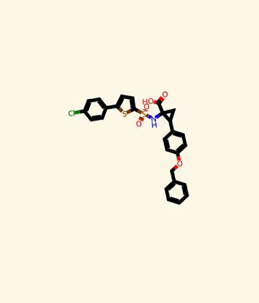 O=C(O)C1(NS(=O)(=O)c2ccc(-c3ccc(Cl)cc3)s2)CC1c1ccc(OCc2ccccc2)cc1